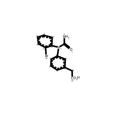 NC(=O)N(c1cccc(CC(=O)O)c1)c1ccccc1Br